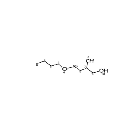 CCCCOSCC(O)CO